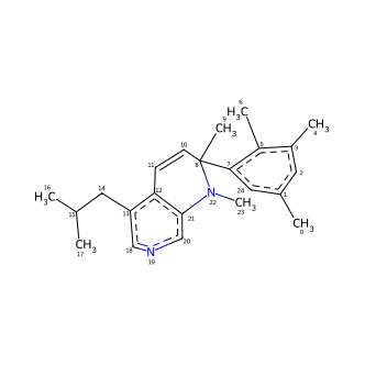 Cc1cc(C)c(C)c(C2(C)C=Cc3c(CC(C)C)cncc3N2C)c1